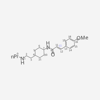 CCCNCCC1CCC(NC(=O)/C=C/c2ccc(OC)cc2)CC1